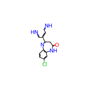 N=C/C=C(\C=N)C1=Nc2ccc(Cl)cc2NC(=O)C1